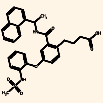 CC(NC(=O)c1cc(Oc2ccccc2NS(C)(=O)=O)ccc1CCCC(=O)O)c1cccc2ccccc12